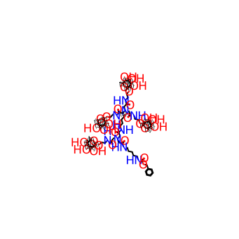 C[C@@H]1O[C@@H](OCCNC(=O)CN(CC(=O)NCCO[C@@H]2O[C@@H](C)[C@@H](O)[C@@H](O)[C@@H]2O)[C@@H](CCCCNC(=O)CN(CC(=O)NCCCCCNC(=O)OCc2ccccc2)CC(=O)NCCO[C@H]2O[C@H](C)[C@H](O)[C@H](O)[C@H]2O)C(=O)NCCO[C@@H]2O[C@@H](C)[C@@H](O)[C@@H](O)[C@@H]2O)[C@@H](O)[C@H](O)[C@@H]1O